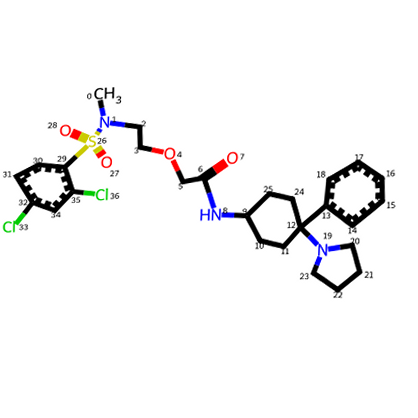 CN(CCOCC(=O)NC1CCC(c2ccccc2)(N2CCCC2)CC1)S(=O)(=O)c1ccc(Cl)cc1Cl